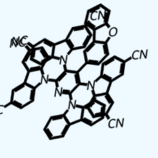 N#Cc1ccc2c(c1)c1cc(C#N)ccc1n2-c1nc(-n2c3ccccc3c3ccccc32)c(-n2c3ccc(C#N)cc3c3cc(C#N)ccc32)c(-c2ccc3oc4ccccc4c3c2)c1-n1c2ccc(C#N)cc2c2cc(C#N)ccc21